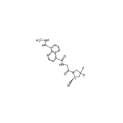 CNNc1cccc2c(C(=O)NCC(=O)N3CC(F)(F)C[C@H]3C#N)ccnc12